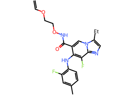 C=COCCONC(=O)c1cn2c(CC)cnc2c(F)c1Nc1ccc(C)cc1F